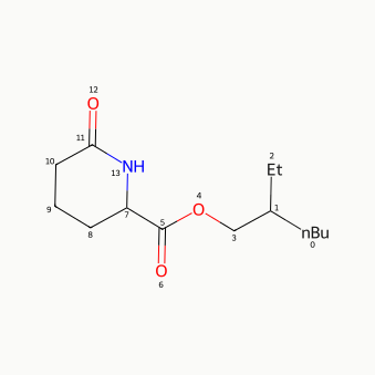 CCCCC(CC)COC(=O)C1CCCC(=O)N1